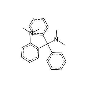 CN(C)c1ccccc1C(c1ccccc1)(c1ccccc1)N(C)C